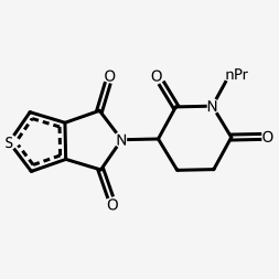 CCCN1C(=O)CCC(N2C(=O)c3cscc3C2=O)C1=O